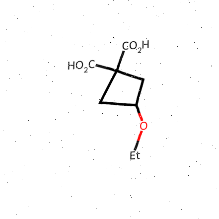 CCOC1CC(C(=O)O)(C(=O)O)C1